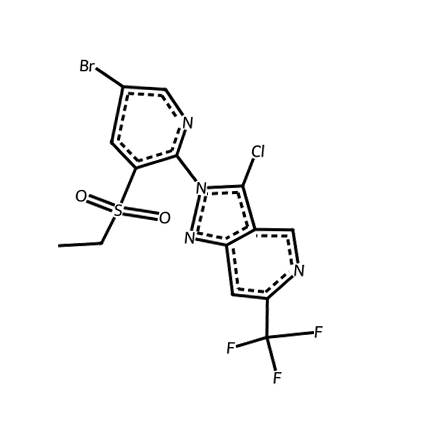 CCS(=O)(=O)c1cc(Br)cnc1-n1nc2cc(C(F)(F)F)ncc2c1Cl